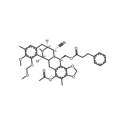 COCOc1c(OC)c(C)cc2c1[C@@H]1C3Cc4c(OC(C)=O)c(C)c5c(c4[C@H](COC(=O)CCc4ccccc4)N3[C@@H](C#N)[C@H](C2)N1C)OCO5